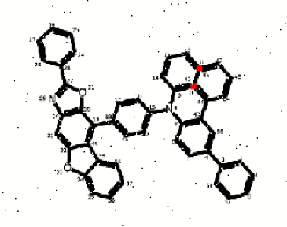 c1ccc(-c2ccc(N(c3ccccc3)c3ccc(-c4c5oc(-c6ccccc6)nc5cc5oc6ccccc6c45)cc3)c(-c3ccccc3)c2)cc1